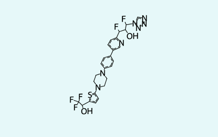 OC(C(F)c1ccc(-c2ccc(N3CCN(c4ccc(C(O)C(F)(F)F)s4)CC3)cc2)cn1)C(F)n1cnnn1